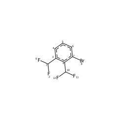 FC(F)c1cccc(Br)c1C(F)F